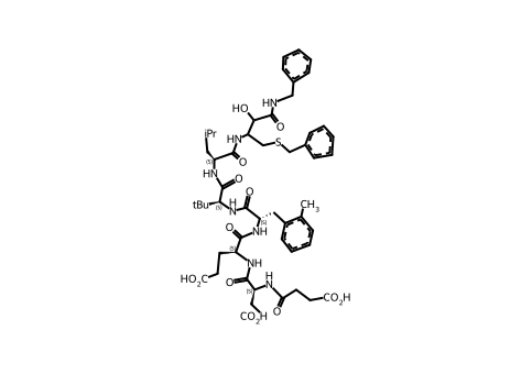 Cc1ccccc1C[C@H](NC(=O)[C@H](CCC(=O)O)NC(=O)[C@H](CC(=O)O)NC(=O)CCC(=O)O)C(=O)N[C@H](C(=O)N[C@@H](CC(C)C)C(=O)NC(CSCc1ccccc1)C(O)C(=O)NCc1ccccc1)C(C)(C)C